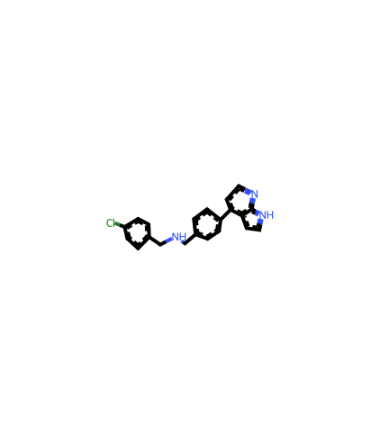 Clc1ccc(CNCc2ccc(-c3ccnc4[nH]ccc34)cc2)cc1